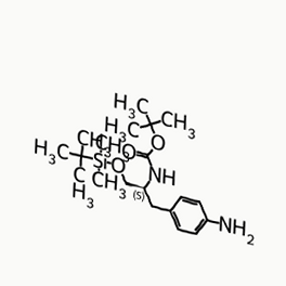 CC(C)(C)OC(=O)N[C@H](CO[Si](C)(C)C(C)(C)C)Cc1ccc(N)cc1